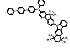 CC1(C)CCC(C)(C)c2cc3c(cc21)c1ccccc1n3-c1ccc2c(c1)C(C)(C)c1cc(N(c3ccccc3)c3ccc(-c4ccc(-c5ccccc5)cc4)cc3)ccc1-2